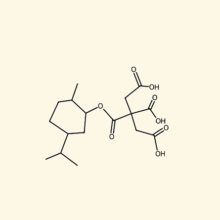 CC(C)C1CCC(C)C(OC(=O)C(CC(=O)O)(CC(=O)O)C(=O)O)C1